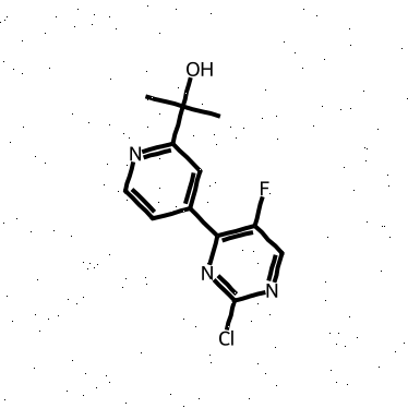 CC(C)(O)c1cc(-c2nc(Cl)ncc2F)ccn1